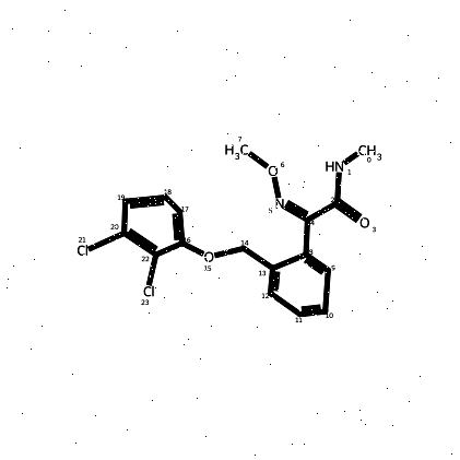 CNC(=O)C(=NOC)c1ccccc1COc1cccc(Cl)c1Cl